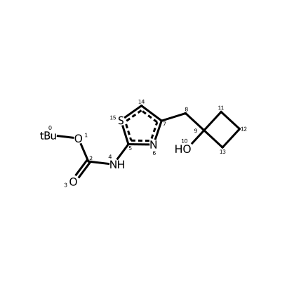 CC(C)(C)OC(=O)Nc1nc(CC2(O)CCC2)cs1